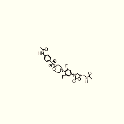 CC(=O)NC[C@H]1CN(c2cc(F)c(N3CCON(S(=O)(=O)c4ccc(NC(C)=O)cc4)CC3)c(F)c2)C(=O)O1